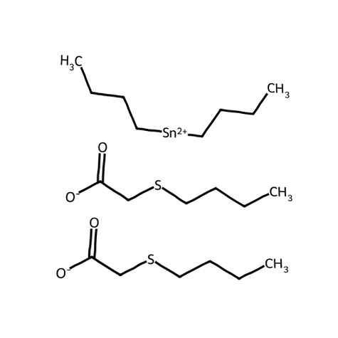 CCCCSCC(=O)[O-].CCCCSCC(=O)[O-].CCC[CH2][Sn+2][CH2]CCC